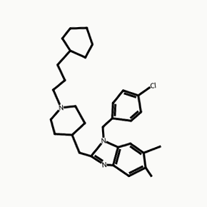 Cc1cc2nc(CC3CCN(CCCC4CCCCC4)CC3)n(Cc3ccc(Cl)cc3)c2cc1C